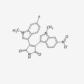 Cn1cc(C2=C(c3cn(C)c4cc([N+](=O)[O-])ccc34)C(=O)NC2=O)c2ccc(F)cc21